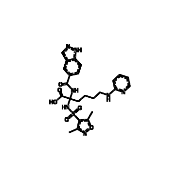 Cc1noc(C)c1S(=O)(=O)NC(CCCCNc1ccccn1)(NC(=O)c1ccc2[nH]ncc2c1)C(=O)O